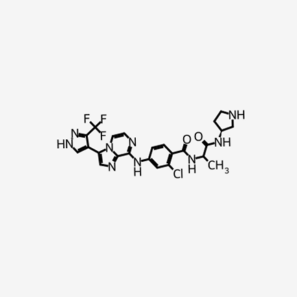 CC(NC(=O)c1ccc(Nc2nccn3c(-c4c[nH]nc4C(F)(F)F)cnc23)cc1Cl)C(=O)N[C@H]1CCNC1